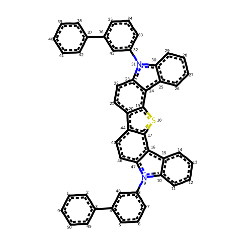 c1ccc(-c2cccc(-n3c4ccccc4c4c5sc6c(ccc7c6c6ccccc6n7-c6cccc(-c7ccccc7)c6)c5ccc43)c2)cc1